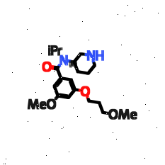 COCCCOc1cc(OC)cc(C(=O)N(C(C)C)[C@@H]2CCCNC2)c1